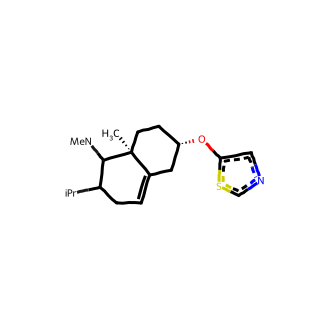 CNC1C(C(C)C)CC=C2C[C@@H](Oc3cncs3)CC[C@@]21C